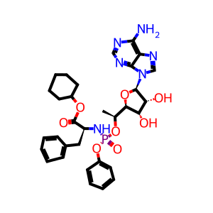 C[C@H](OP(=O)(N[C@@H](Cc1ccccc1)C(=O)OC1CCCCC1)Oc1ccccc1)[C@H]1O[C@@H](n2cnc3c(N)ncnc32)[C@H](O)[C@@H]1O